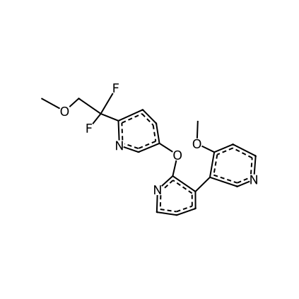 COCC(F)(F)c1ccc(Oc2ncccc2-c2cnccc2OC)cn1